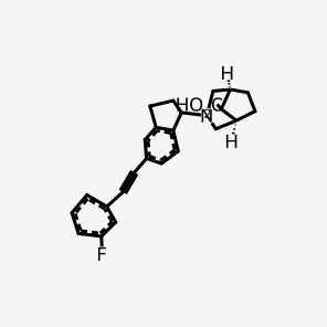 O=C(O)C1[C@@H]2CC[C@H]1CN(C1CCc3cc(C#Cc4cccc(F)c4)ccc31)C2